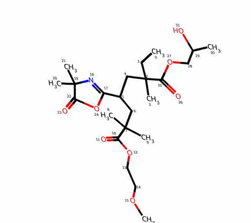 CCC(C)(CC(CC(C)(C)C(=O)OCCOC)C1=NC(C)(C)C(=O)O1)C(=O)OCC(C)O